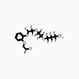 C[C@H](Cl)COc1cc[c]cc1OC(F)C(F)(F)OC(F)(F)C(F)(F)OC(F)(F)C(F)(F)C(F)(F)C(F)(F)F